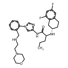 CCCC(N[C@H]1CCc2cc(F)cc(F)c2C1)C(=O)Nc1cn(-c2ccccc2CNCCN2CCOCC2)cn1